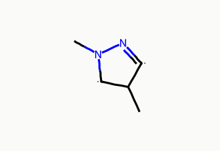 CC1[C]=NN(C)[CH]1